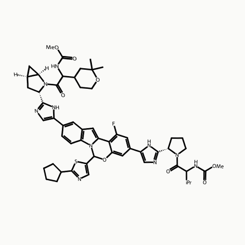 COC(=O)NC(C(=O)N1CCC[C@H]1c1ncc(-c2cc(F)c3c(c2)OC(c2cnc(C4CCCC4)s2)n2c-3cc3cc(-c4cnc([C@@H]5C[C@H]6C[C@H]6N5C(=O)C(NC(=O)OC)C5CCOC(C)(C)C5)[nH]4)ccc32)[nH]1)C(C)C